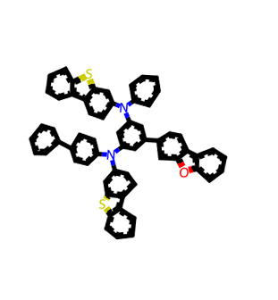 c1ccc(-c2ccc(N(c3cc(-c4ccc5c(c4)oc4ccccc45)cc(N(c4ccccc4)c4ccc5c(c4)sc4ccccc45)c3)c3ccc4c(c3)sc3ccccc34)cc2)cc1